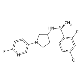 C[C@H](NC1CCN(c2ccc(F)nc2)C1)c1ccc(Cl)cc1Cl